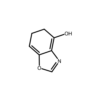 OC1=c2ncoc2=CCC1